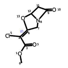 COC(=O)/C(Cl)=C1\CN2C(=O)CC2O1